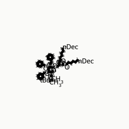 CCCCCCCCCCCCCCCC(=O)OC[C@H](CO[C@H]1O[C@H](CO[Si](C)(C)C(C)(C)C)[C@@H](OCc2ccccc2)[C@H](OCc2ccccc2)[C@H]1OCc1ccccc1)OC(=O)CCCCCCCCCCCCCCC